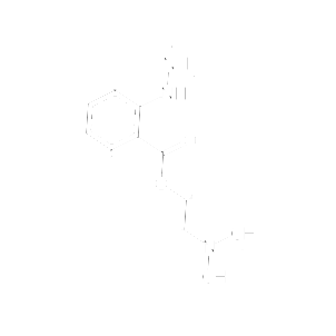 CN(C)CCOC(=O)c1ccccc1NN